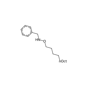 CCCCCCCCCCCCONCc1ccccc1